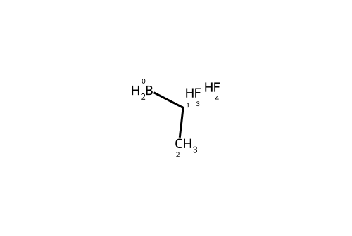 BCC.F.F